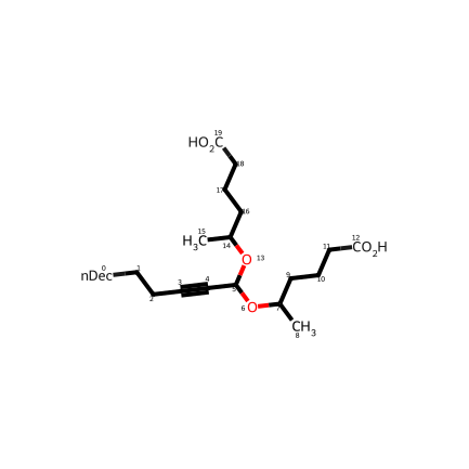 CCCCCCCCCCCCC#CC(OC(C)CCCC(=O)O)OC(C)CCCC(=O)O